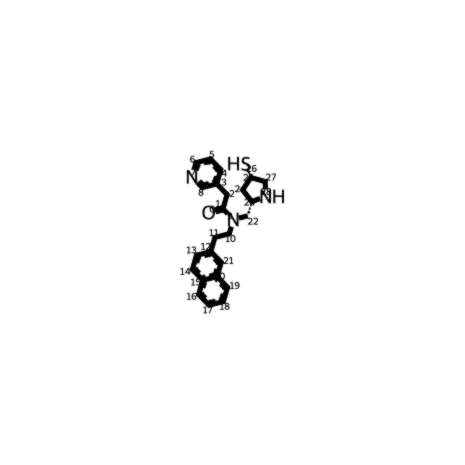 O=C(Cc1cccnc1)N(CCc1ccc2ccccc2c1)C[C@@H]1C[C@H](S)CN1